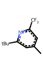 Cc1cc(C(C)(C)C)nc(C(F)(F)F)c1